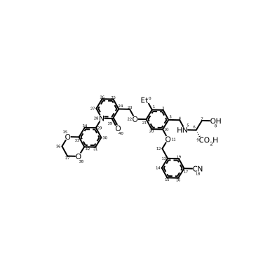 CCc1cc(CN[C@H](CO)C(=O)O)c(OCc2cccc(C#N)c2)cc1OCc1cccn(-c2ccc3c(c2)OCCO3)c1=O